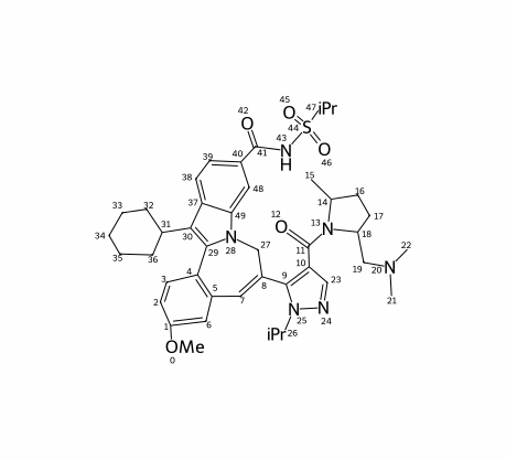 COc1ccc2c(c1)C=C(c1c(C(=O)N3C(C)CCC3CN(C)C)cnn1C(C)C)Cn1c-2c(C2CCCCC2)c2ccc(C(=O)NS(=O)(=O)C(C)C)cc21